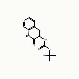 CC(C)(C)OC(=O)NC1Cc2ccncc2NC1=O